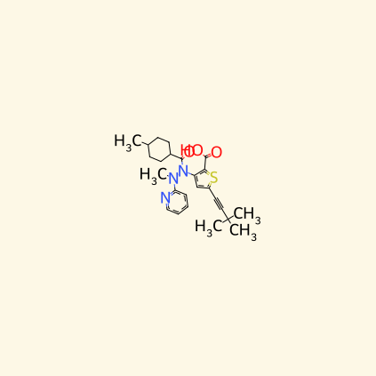 CC1CCC(C(=O)N(c2cc(C#CC(C)(C)C)sc2C(=O)O)N(C)c2ccccn2)CC1